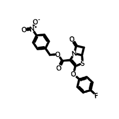 O=C(OCc1ccc([N+](=O)[O-])cc1)C1=C(Oc2ccc(F)cc2)SC2CC(=O)N12